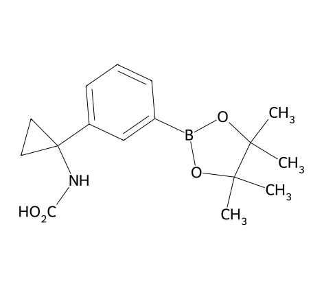 CC1(C)OB(c2cccc(C3(NC(=O)O)CC3)c2)OC1(C)C